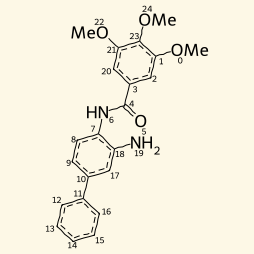 COc1cc(C(=O)Nc2ccc(-c3ccccc3)cc2N)cc(OC)c1OC